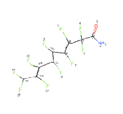 NC(=O)C(F)(F)C(F)C(F)C(F)C(F)C(F)C(F)C(F)F